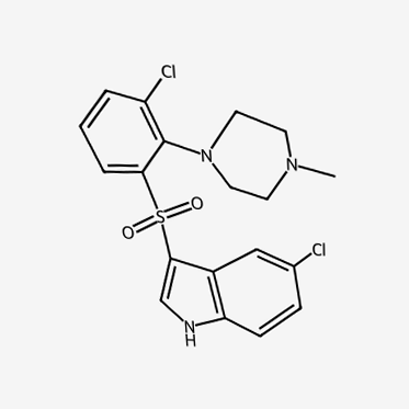 CN1CCN(c2c(Cl)cccc2S(=O)(=O)c2c[nH]c3ccc(Cl)cc23)CC1